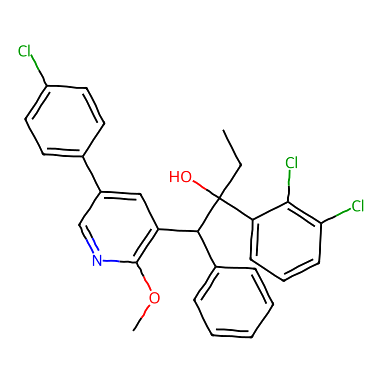 CCC(O)(c1cccc(Cl)c1Cl)C(c1ccccc1)c1cc(-c2ccc(Cl)cc2)cnc1OC